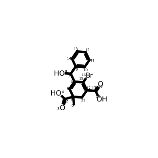 CC1(C(=O)O)C=C(C(O)c2ccccc2)C(Br)=C(C(=O)O)C1